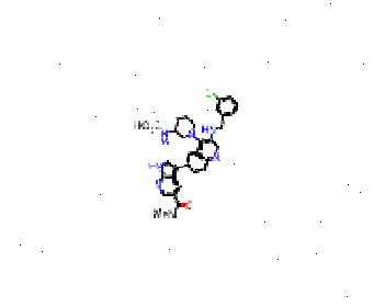 CNC(=O)c1cnc2[nH]cc(-c3ccc4ncc(NCc5cccc(Cl)c5)c(N5CCC[C@H](NC(=O)O)C5)c4c3)c2c1